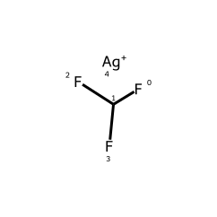 FC(F)F.[Ag+]